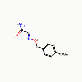 COc1ccc(CO/N=C/C(N)=O)cc1